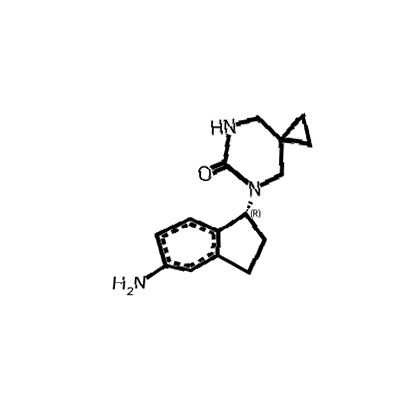 Nc1ccc2c(c1)CC[C@H]2N1CC2(CC2)CNC1=O